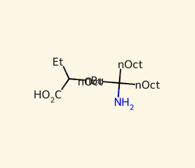 CCCCC(CC)C(=O)O.CCCCCCCCC(N)(CCCCCCCC)CCCCCCCC